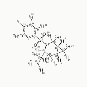 [2H]c1cc(S(=O)(=O)N2C([2H])([2H])[C@]3([2H])C([2H])([2H])[C@]3([2H])C([2H])([2H])[C@@]2([2H])C([2H])([2H])N([2H])[2H])c([2H])c([2H])c1C